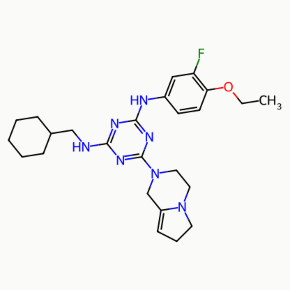 CCOc1ccc(Nc2nc(NCC3CCCCC3)nc(N3CCN4CCC=C4C3)n2)cc1F